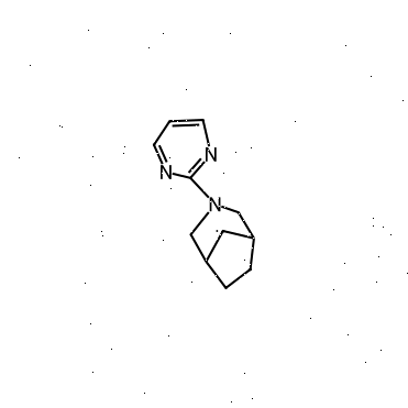 [CH]1C2CCC1CN(c1ncccn1)C2